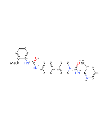 COc1ccccc1NC(=O)Nc1ccc(C2=CCN(C(=O)Nc3ncccc3C#N)CC2)cc1